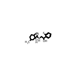 CC1CCC(C(C)C)C(O)(C(=O)NCC(O)c2ccccc2F)C1